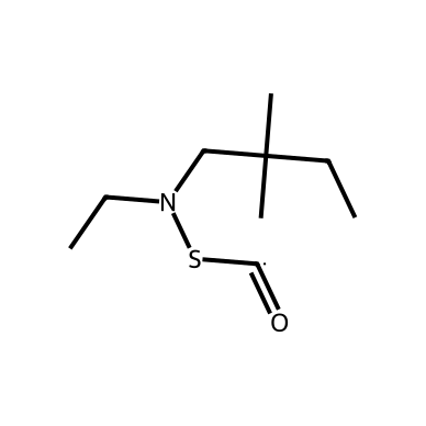 CCN(CC(C)(C)CC)S[C]=O